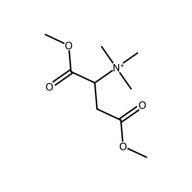 COC(=O)CC(C(=O)OC)[N+](C)(C)C